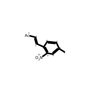 CC(=O)C=Cc1ccc(C)cc1[N+](=O)[O-]